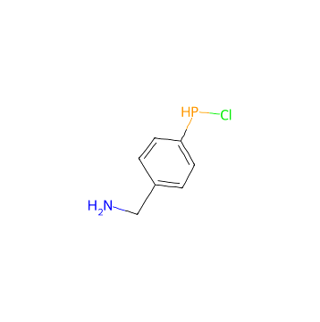 NCc1ccc(PCl)cc1